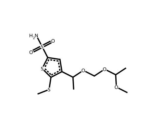 COC(C)OCOC(C)c1cc(S(N)(=O)=O)sc1SC